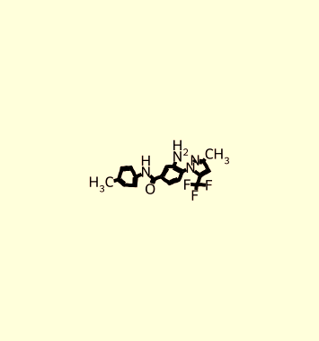 Cc1ccc(NC(=O)c2ccc(-n3nc(C)cc3C(F)(F)F)c(N)c2)cc1